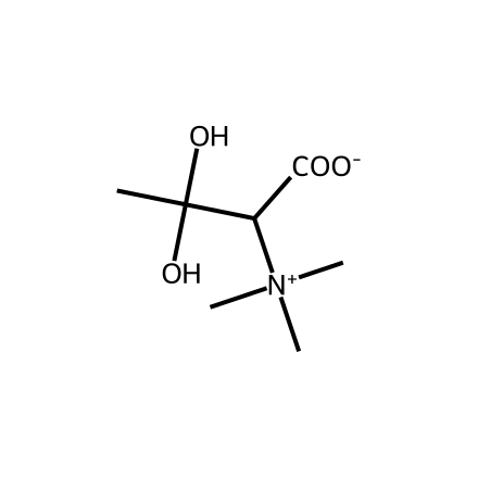 CC(O)(O)C(C(=O)[O-])[N+](C)(C)C